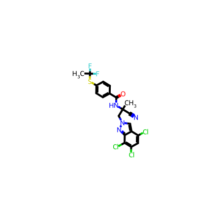 CC(C#N)(Cn1cc2c(Cl)cc(Cl)c(Cl)c2n1)NC(=O)c1ccc(SC(C)(F)F)cc1